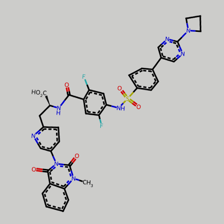 Cn1c(=O)n(-c2ccc(C[C@H](NC(=O)c3cc(F)c(NS(=O)(=O)c4ccc(-c5cnc(N6CCC6)nc5)cc4)cc3F)C(=O)O)nc2)c(=O)c2ccccc21